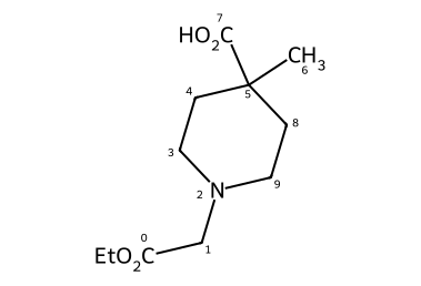 CCOC(=O)CN1CCC(C)(C(=O)O)CC1